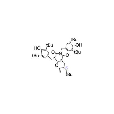 C=C/C(=C\C(C)(C)C)Cn1c(=O)n(Cc2cc(C(C)(C)C)c(O)c(C(C)(C)C)c2)c(=O)n(Cc2cc(C(C)(C)C)c(O)c(C(C)(C)C)c2)c1=O